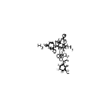 C[C@]1(COP2(=O)OCCC(c3cccc(Cl)c3)O2)O[C@@H](n2ccc(N)nc2=O)[C@@H]2OC(=O)O[C@@H]21